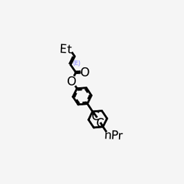 CC/C=C/C(=O)Oc1ccc(C23CCC(CCC)(CC2)CC3)cc1